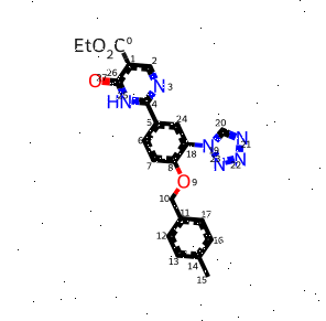 CCOC(=O)c1cnc(-c2ccc(OCc3ccc(C)cc3)c(-n3cnnn3)c2)[nH]c1=O